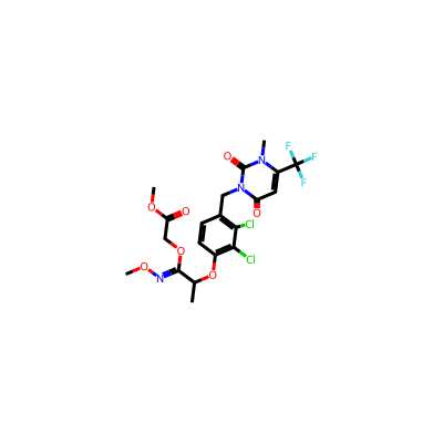 CON=C(OCC(=O)OC)C(C)Oc1ccc(Cn2c(=O)cc(C(F)(F)F)n(C)c2=O)c(Cl)c1Cl